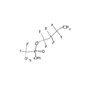 O=P(O)(OC(F)(F)C(F)(F)C(F)(F)C(F)(F)F)C(F)(F)C(F)(F)F